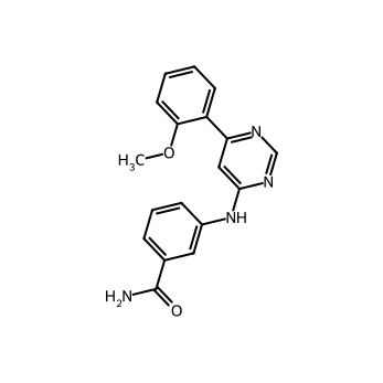 COc1ccccc1-c1cc(Nc2cccc(C(N)=O)c2)ncn1